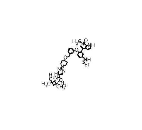 CCSNc1ccc(Oc2cccc(COC3CCN(c4ncc(C(=O)NC5C(C)(C)CC5(C)C)cn4)CC3)c2)c(-c2cn(C)c(=O)c3[nH]ccc23)c1